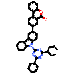 C/C=C\C(=C/C)c1nc(-c2ccccc2)nc(-n2c3ccccc3c3cc(-c4ccc5c(c4)c(=O)oc4ccccc45)ccc32)n1